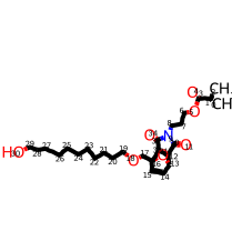 C=C(C)C(=O)OCCCN1C(=O)C2C3C=CC(COCCCCCCCCCCCO)(O3)C2C1=O